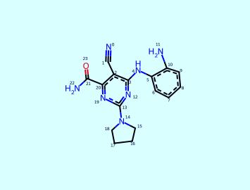 N#Cc1c(Nc2ccccc2N)nc(N2CCCC2)nc1C(N)=O